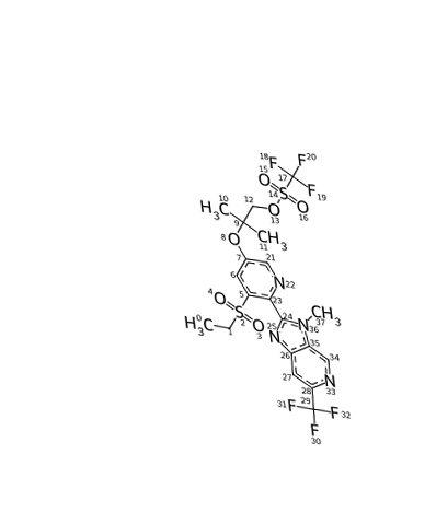 CCS(=O)(=O)c1cc(OC(C)(C)COS(=O)(=O)C(F)(F)F)cnc1-c1nc2cc(C(F)(F)F)ncc2n1C